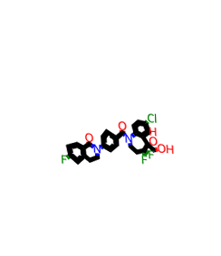 O=C1c2ccc(F)cc2CCN1c1ccc(C(=O)N2CCC(F)(F)[C@](O)(CO)c3cc(Cl)ccc32)cc1